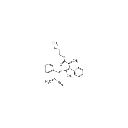 C=C(C(=O)OCCCC)C(=C(C)C=Cc1ccccc1)c1ccccc1.C=CC#N